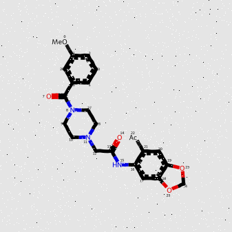 COc1cccc(C(=O)N2CCN(CC(=O)Nc3cc4c(cc3C(C)=O)OCO4)CC2)c1